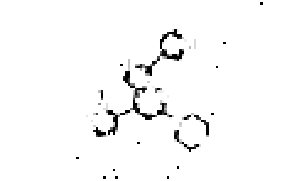 C[C@@H]1COCCN1c1cc(-c2ccnn2C)c2cnc(-c3cc[nH]c3)n2n1